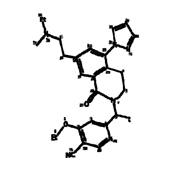 CCOc1cc(C(C)N2CCc3c(cc(CCN(C)CC)cc3-n3cccn3)C2=O)ncc1C#N